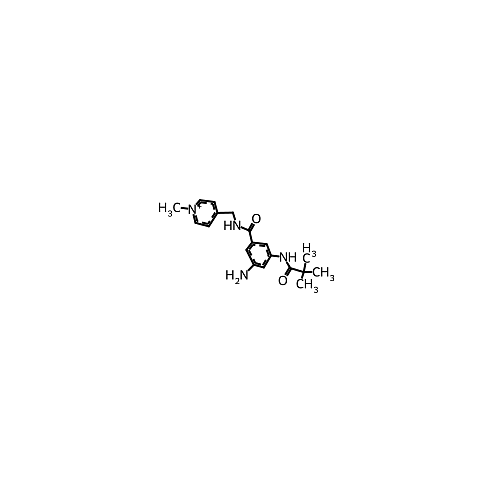 C[n+]1ccc(CNC(=O)c2cc(N)cc(NC(=O)C(C)(C)C)c2)cc1